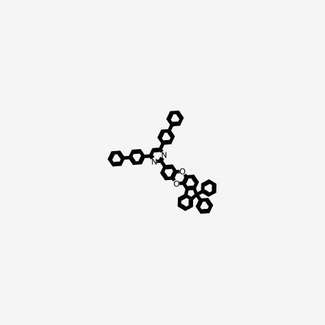 c1ccc(-c2ccc(-c3cc(-c4ccc(-c5ccccc5)cc4)nc(-c4ccc5c(c4)Oc4ccc6c(c4O5)-c4ccccc4C6(c4ccccc4)c4ccccc4)n3)cc2)cc1